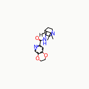 CC1(C)[C@H](NC(=O)c2cc3c(cn2)OCCO3)C2CCN1CC2